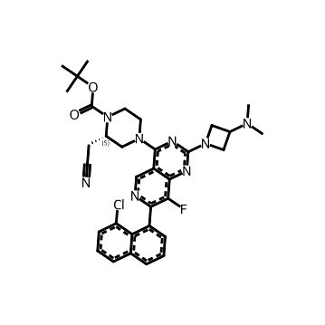 CN(C)C1CN(c2nc(N3CCN(C(=O)OC(C)(C)C)[C@@H](CC#N)C3)c3cnc(-c4cccc5cccc(Cl)c45)c(F)c3n2)C1